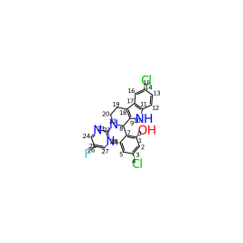 Oc1cc(Cl)ccc1C1c2[nH]c3ccc(Cl)cc3c2CCN1c1ncc(F)cn1